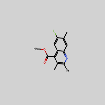 CCCCOC(=O)c1c(C)c(CC)nc2cc(C)c(F)cc12